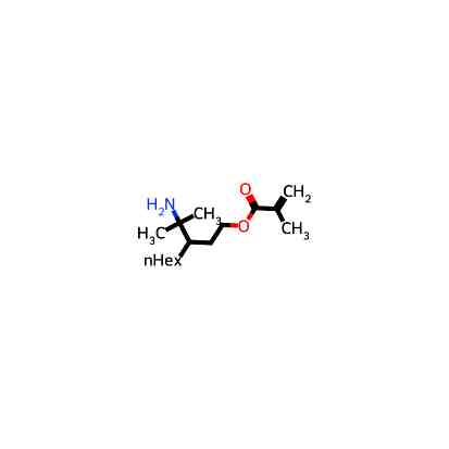 C=C(C)C(=O)OCCC(CCCCCC)C(C)(C)N